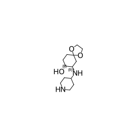 O[C@@H]1CCC2(C[C@H]1NC1CCNCC1)OCCO2